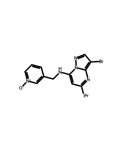 CC(C)c1cc(NCc2ccc[n+]([O-])c2)n2ncc(Br)c2n1